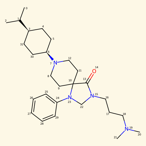 CC(C)[C@H]1CC[C@@H](N2CCC3(CC2)C(=O)N(CCCN(C)C)CN3c2ccccc2)CC1